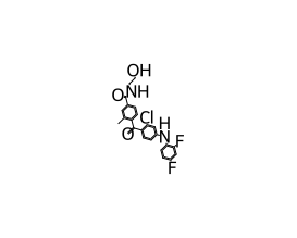 Cc1cc(C(=O)NCCO)ccc1C(=O)c1ccc(Nc2ccc(F)cc2F)cc1Cl